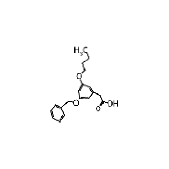 CCCCOc1cc(CC(=O)O)cc(OCc2ccccc2)c1